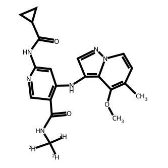 [2H]C([2H])([2H])NC(=O)c1cnc(NC(=O)C2CC2)cc1Nc1cnn2ccc(C)c(OC)c12